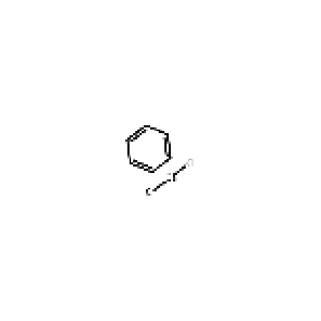 [Cl][Ca][Cl].c1ccccc1